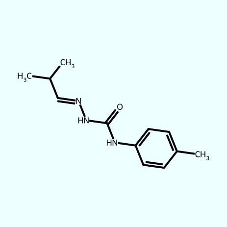 Cc1ccc(NC(=O)N/N=C/C(C)C)cc1